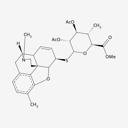 COC(=O)[C@H]1OC(S[C@@H]2C=CC3[C@H]4Cc5ccc(C)c6c5[C@@]3(CCN4C)C2O6)[C@H](OC(C)=O)[C@@H](OC(C)=O)[C@@H]1C